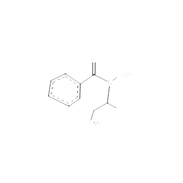 COCC(C(=O)O)N(OC)C(=O)c1ccccc1